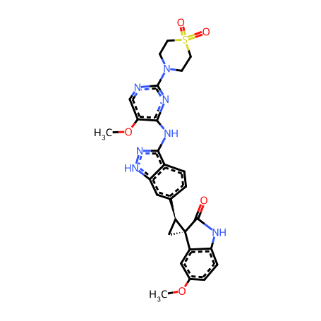 COc1ccc2c(c1)[C@]1(C[C@H]1c1ccc3c(Nc4nc(N5CCS(=O)(=O)CC5)ncc4OC)n[nH]c3c1)C(=O)N2